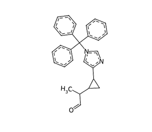 CC(C=O)C1CC1c1cn(C(c2ccccc2)(c2ccccc2)c2ccccc2)cn1